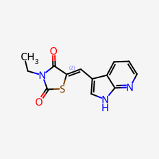 CCN1C(=O)S/C(=C\c2c[nH]c3ncccc23)C1=O